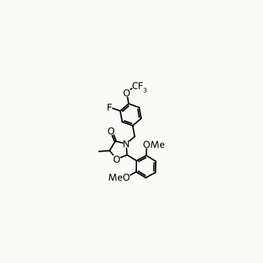 COc1cccc(OC)c1C1OC(C)C(=O)N1Cc1ccc(OC(F)(F)F)c(F)c1